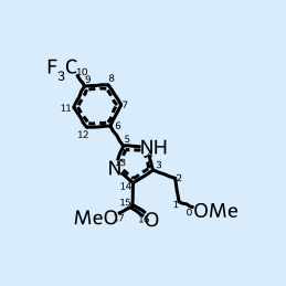 COCCc1[nH]c(-c2ccc(C(F)(F)F)cc2)nc1C(=O)OC